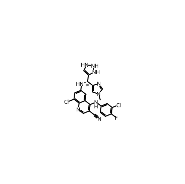 Cn1cnc([C@H](Nc2cc(Cl)c3ncc(C#N)c(Nc4ccc(F)c(Cl)c4)c3c2)C2=CNNN2)c1